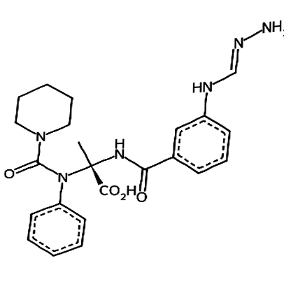 C[C@@](NC(=O)c1cccc(NC=NN)c1)(C(=O)O)N(C(=O)N1CCCCC1)c1ccccc1